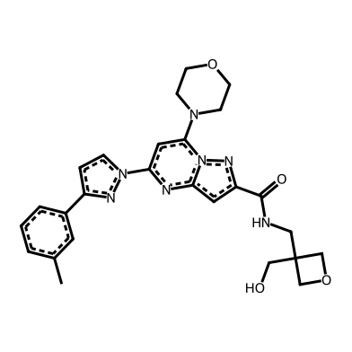 Cc1cccc(-c2ccn(-c3cc(N4CCOCC4)n4nc(C(=O)NCC5(CO)COC5)cc4n3)n2)c1